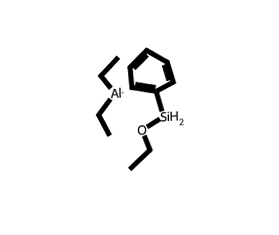 CCO[SiH2]c1ccccc1.C[CH2][Al][CH2]C